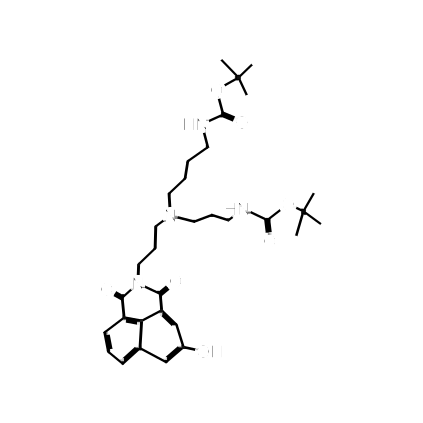 CC(C)(C)OC(=O)NCCCCN(CCCNC(=O)OC(C)(C)C)CCCN1C(=O)c2cccc3cc(O)cc(c23)C1=O